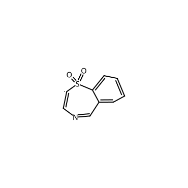 O=S1(=O)[C]=CN=Cc2ccccc21